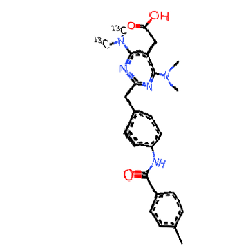 Cc1ccc(C(=O)Nc2ccc(Cc3nc(N(C)C)c(CC(=O)O)c(N([13CH3])[13CH3])n3)cc2)cc1